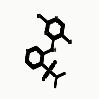 CN(C)S(=O)(=O)c1ccncc1Nc1nc(Cl)ncc1Cl